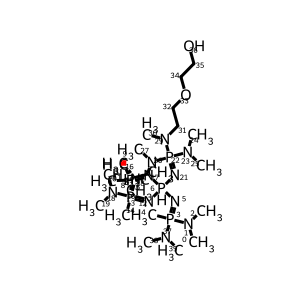 CN(C)P(C)(=N[PH](N=P(C)(C)C)(N=P(C)(N(C)C)N(C)C)N=P(N(C)C)(N(C)C)N(C)CCOCCO)N(C)C